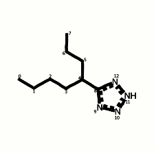 CCCCC(CCC)c1nn[nH]n1